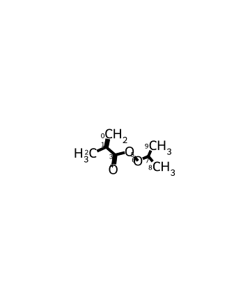 C=C(C)C(=O)OOC(C)C